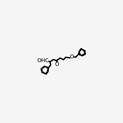 O=CC(CC(=O)CCCCOCc1ccccc1)Cc1ccccc1